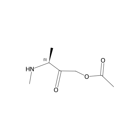 CN[C@@H](C)C(=O)COC(C)=O